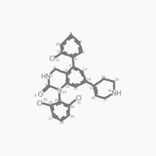 O=C1NCc2c(-c3ccccc3Cl)cc(C3=CCNCC3)cc2N1c1c(Cl)cccc1Cl